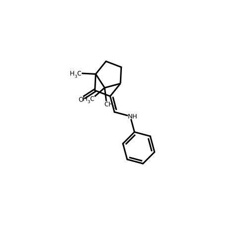 CC12CCC(C(=CNc3ccccc3)C1=O)C2(C)C